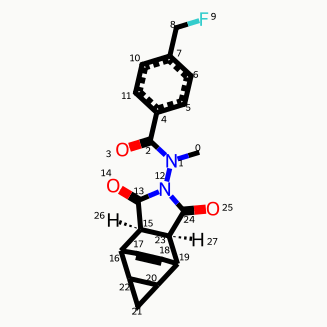 CN(C(=O)c1ccc(CF)cc1)N1C(=O)[C@@H]2C3C=CC(C4CC43)[C@@H]2C1=O